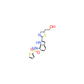 O=S(=O)(Nc1cccc2cc(C3=NCC(CCO)S3)[nH]c12)c1cccs1